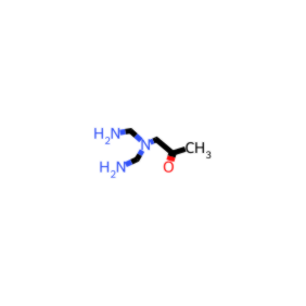 CC(=O)CN(CN)CN